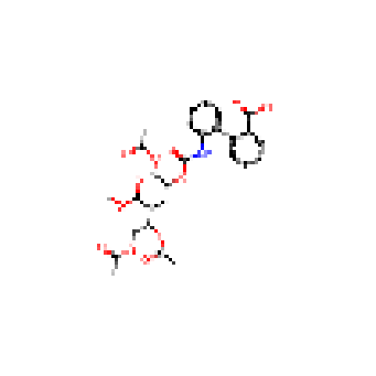 COC(=O)C(C[C@H](COC(C)=O)OC(=O)Nc1ccccc1-c1ccccc1C(=O)O)[C@H](COC(C)=O)OC(C)=O